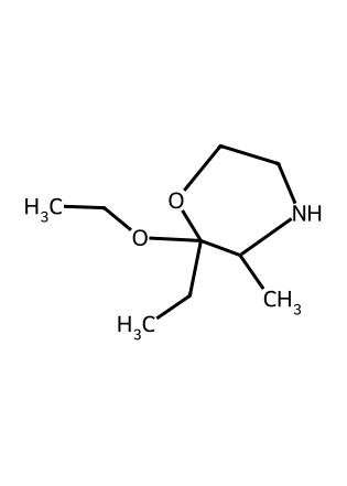 CCOC1(CC)OCCNC1C